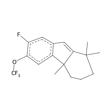 CC1(C)CCCC2(C)C1=Cc1cc(F)c(OC(F)(F)F)cc12